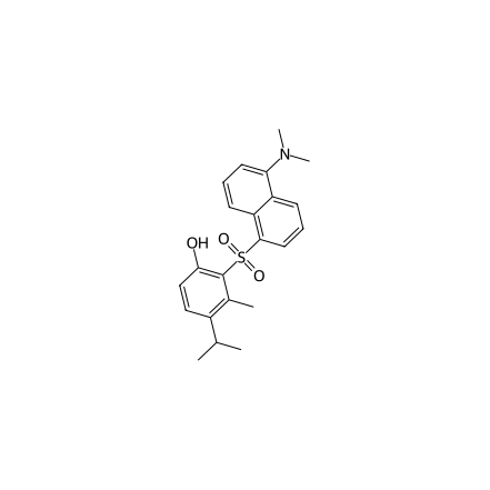 Cc1c(C(C)C)ccc(O)c1S(=O)(=O)c1cccc2c(N(C)C)cccc12